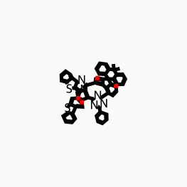 CC1(C)c2ccccc2C2(c3ccc(-c4nc(-c5ccc6c(c5)sc5ccccc56)c5sc6ccccc6c5n4)cc3-c3c(-c4nc(-c5ccccc5)nc(-c5ccccc5)n4)cccc32)c2ccccc21